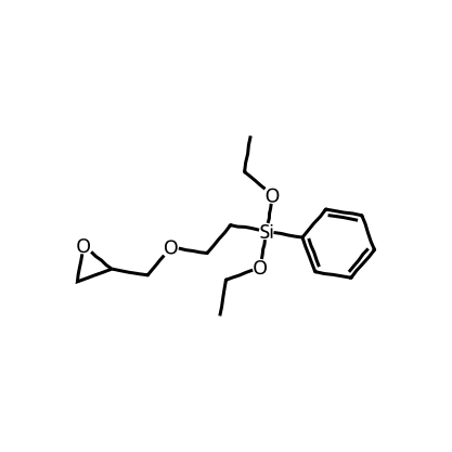 CCO[Si](CCOCC1CO1)(OCC)c1ccccc1